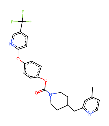 Cc1ccnc(CC2CCN(C(=O)Oc3ccc(Oc4ccc(C(F)(F)F)cn4)cc3)CC2)c1